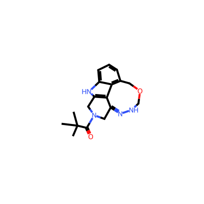 CC(C)(C)C(=O)N1C/C2=N/NCOCc3cccc4[nH]c(c2c34)C1